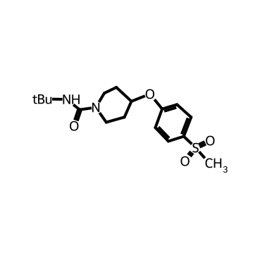 CC(C)(C)NC(=O)N1CCC(Oc2ccc(S(C)(=O)=O)cc2)CC1